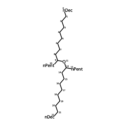 CCCCCCCCCCCCCCCCCCC(CCCCC)OC(CCCCC)CCCCCCCCCCCCCCCCCC